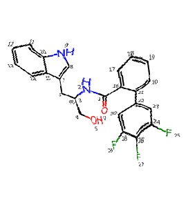 O=C(N[C@@H](CO)Cc1c[nH]c2ccccc12)c1ccccc1-c1cc(F)c(F)c(F)c1